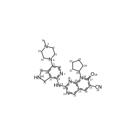 CN1CCN(c2cnc(Nc3ncc4cc(C#N)c(=O)n(C5CCCC5)c4n3)c3c2CNC3)CC1